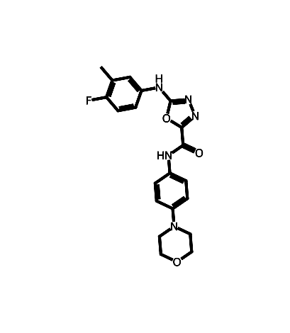 Cc1cc(Nc2nnc(C(=O)Nc3ccc(N4CCOCC4)cc3)o2)ccc1F